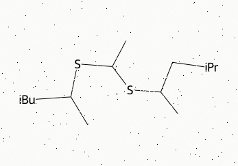 CCC(C)C(C)S[C](C)SC(C)CC(C)C